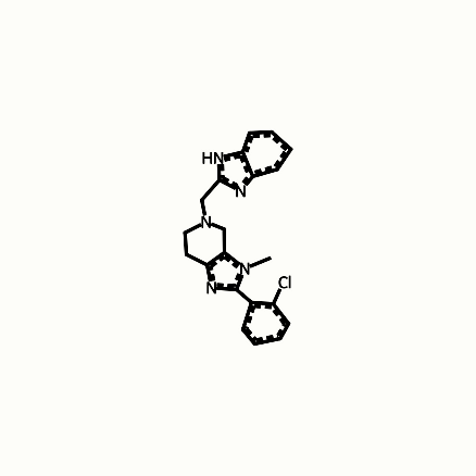 Cn1c(-c2ccccc2Cl)nc2c1CN(Cc1nc3ccccc3[nH]1)CC2